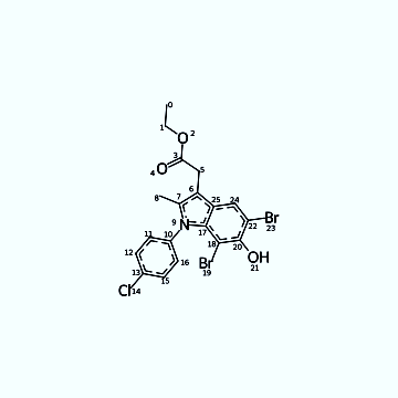 CCOC(=O)Cc1c(C)n(-c2ccc(Cl)cc2)c2c(Br)c(O)c(Br)cc12